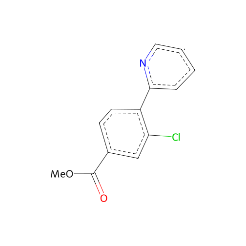 COC(=O)c1ccc(-c2cc[c]cn2)c(Cl)c1